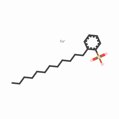 CCCCCCCCCCCCc1ccccc1S(=O)(=O)[O-].[Cu+]